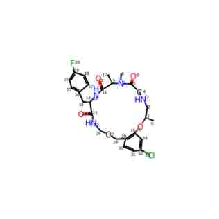 C[C@@H]1CNCC(=O)N(C)[C@H](C)C(=O)N[C@H](Cc2ccc(F)cc2)C(=O)NCCCc2ccc(Cl)cc2O1